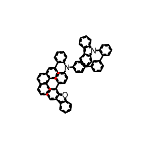 c1cc(-c2ccc(N(c3ccc(-c4cccc5c4oc4ccccc45)cc3)c3ccccc3-c3ccc4c(ccc5ccccc54)c3)cc2)cc(-c2ccccc2-n2c3ccccc3c3ccccc32)c1